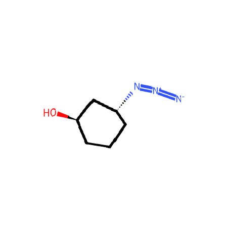 [N-]=[N+]=N[C@@H]1CCC[C@@H](O)C1